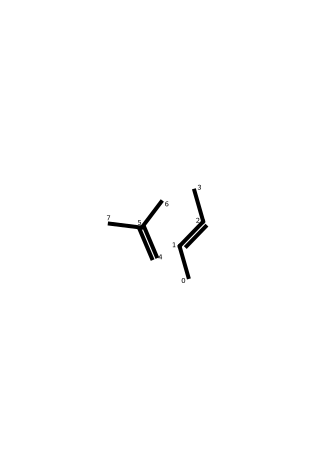 C/C=C/C.C=C(C)C